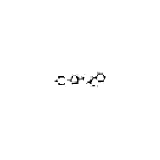 O=C1CCN(c2ccc(C(=O)Nc3cnc4ccccc4c3)cc2)CC1